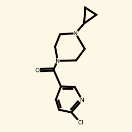 O=C(c1ccc(Cl)nc1)N1CCN(C2CC2)CC1